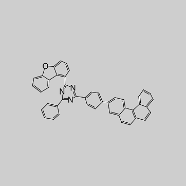 c1ccc(-c2nc(-c3ccc(-c4ccc5c(ccc6ccc7ccccc7c65)c4)cc3)nc(-c3cccc4oc5ccccc5c34)n2)cc1